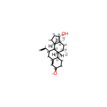 C=C[C@@H]1CC2=CC(=O)CC[C@@H]2[C@@H]2[C@@H]1[C@@H]1CC[C@H](O)[C@@]1(C)C[C@@H]2C